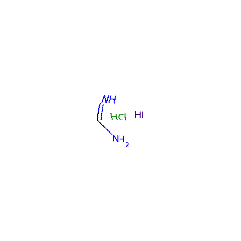 Cl.I.N=CN